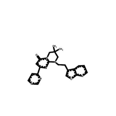 CC1(C)CN(CCc2coc3ncccc23)c2nc(-c3ccncn3)cc(=O)n2C1